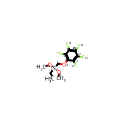 CC[Si](COc1c(F)c(F)c(F)c(F)c1F)(OC)OC